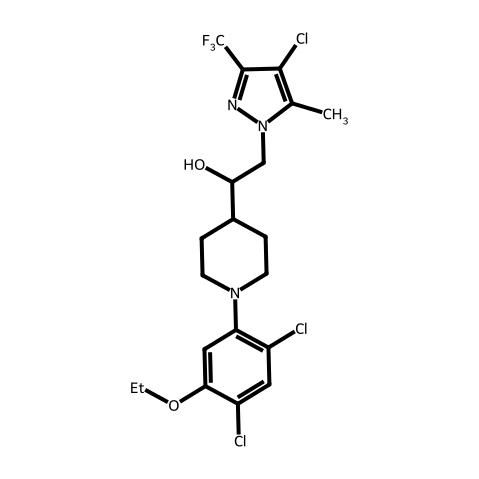 CCOc1cc(N2CCC(C(O)Cn3nc(C(F)(F)F)c(Cl)c3C)CC2)c(Cl)cc1Cl